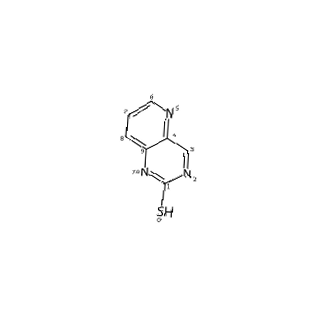 Sc1ncc2ncccc2n1